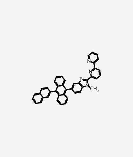 Cn1c(-c2cccc(-c3ccccn3)n2)nc2cc(-c3c4ccccc4c(-c4ccc5ccccc5c4)c4ccccc34)ccc21